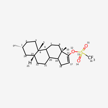 C[C@@H]1CC[C@]2(C)C3CC[C@]4(C)C(OS(=O)(=O)C(F)(F)F)=CCC4C3CC[C@@H]2C1